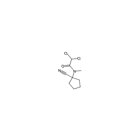 CN(C(=O)C(Cl)Cl)C1(C#N)CCCC1